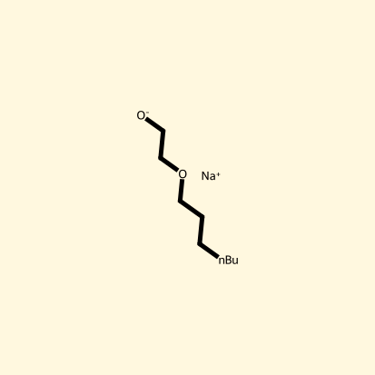 CCCCCCCOCC[O-].[Na+]